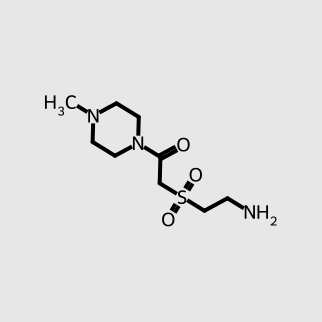 CN1CCN(C(=O)CS(=O)(=O)CCN)CC1